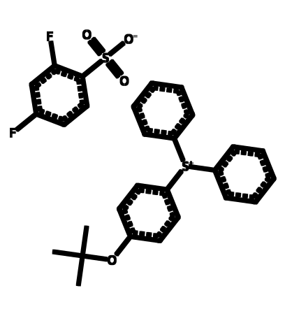 CC(C)(C)Oc1ccc([S+](c2ccccc2)c2ccccc2)cc1.O=S(=O)([O-])c1ccc(F)cc1F